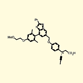 CC#C[C@@H](CC(=O)O)c1ccc(OCc2cc(-c3c(C)cc(OCCOC)cc3C)c3nc(C(C)C)nn3c2)cc1